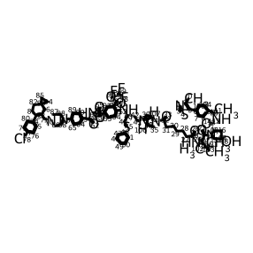 Cc1ncsc1-c1ccc([C@H](C)NC(=O)[C@@H]2C[C@@H](O)CN2C(=O)[C@@H](NC(=O)CCCCCC(=O)N2C[C@H]3C[C@@H]2CN3CC[C@H](CSc2ccccc2)Nc2ccc(S(=O)(=O)NC(=O)c3ccc(N4CCN(CC5=C(c6ccc(Cl)cc6)CCC6(CC6)C5)CC4)cc3)cc2S(=O)(=O)C(F)(F)F)C(C)(C)C)cc1